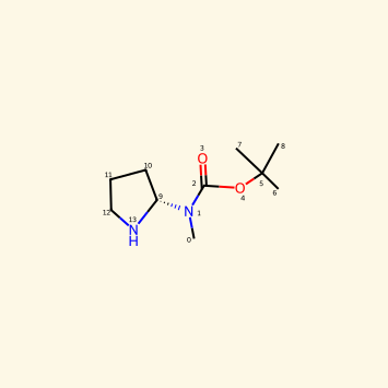 CN(C(=O)OC(C)(C)C)[C@H]1CCCN1